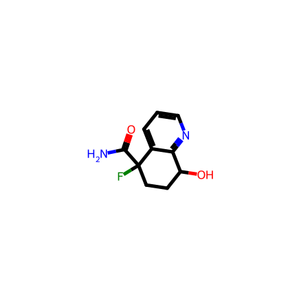 NC(=O)C1(F)CCC(O)c2ncccc21